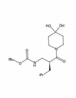 CC(C)C[C@@H](CNC(=O)OC(C)(C)C)C(=O)N1CCC(O)(O)CC1